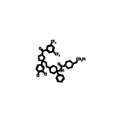 CCOC(=O)CN1CCN(C(=O)NC2(c3ccccc3)CCN(CCC3(c4ccc(Cl)c(Cl)c4)CCN(C(=O)c4cc(C(F)(F)F)cc(C(F)(F)F)c4)C3)CC2)CC1